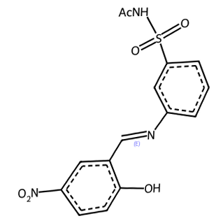 CC(=O)NS(=O)(=O)c1cccc(/N=C/c2cc([N+](=O)[O-])ccc2O)c1